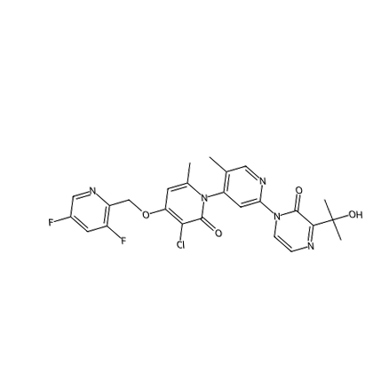 Cc1cnc(-n2ccnc(C(C)(C)O)c2=O)cc1-n1c(C)cc(OCc2ncc(F)cc2F)c(Cl)c1=O